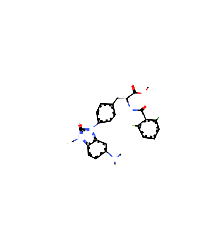 COC(=O)[C@H](Cc1ccc(-n2c(=O)n(C)c3ccc(N(C)C)cc32)cc1)NC(=O)c1c(F)cccc1Cl